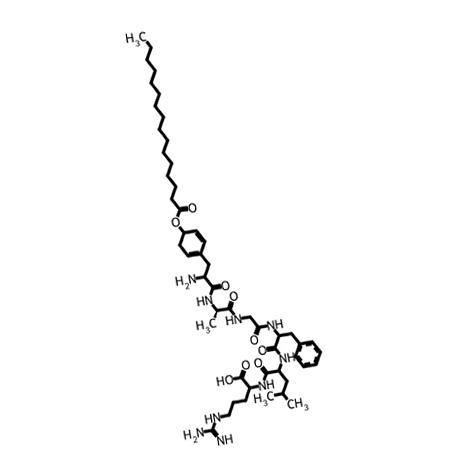 CCCCCCCCCCCCCCCC(=O)OC1C=CC(CC(N)C(=O)N[C@H](C)C(=O)NCC(=O)NC(Cc2ccccc2)C(=O)NC(CC(C)C)C(=O)NC(CCCNC(=N)N)C(=O)O)=CC1